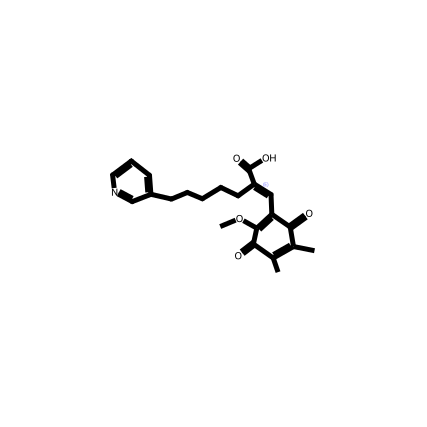 COC1=C(/C=C(\CCCCCc2cccnc2)C(=O)O)C(=O)C(C)=C(C)C1=O